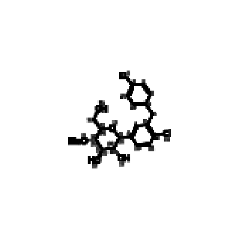 CCc1ccc(Cc2cc([C@@H]3O[C@H](CO)[C@@H](OC)[C@H](O)[C@H]3O)ccc2Cl)cc1